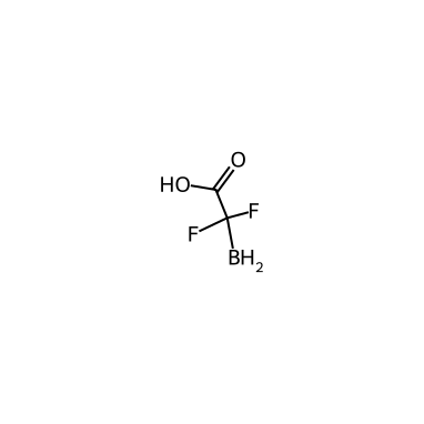 BC(F)(F)C(=O)O